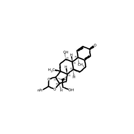 CCCC1O[C@@H]2C[C@H]3[C@@H]4CCC5=CC(=O)C=C[C@]5(C)[C@H]4[C@@H](O)CC3(C)[C@]2(C(=O)CO)O1